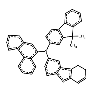 CC1(C)c2ccccc2-c2ccc(N(c3ccc4sc5c(c4c3)CCC=C5)c3cc4ccccc4c4ccccc34)cc21